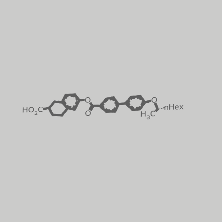 CCCCCC[C@H](C)Oc1ccc(-c2ccc(C(=O)Oc3ccc4c(c3)CCC(C(=O)O)C4)cc2)cc1